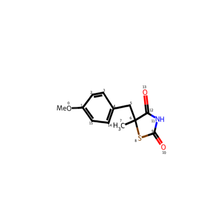 COc1ccc(CC2(C)SC(=O)NC2=O)cc1